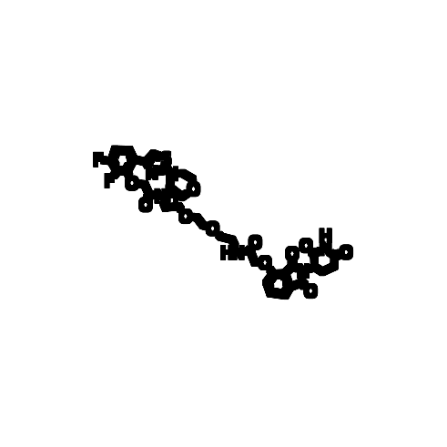 O=C(COc1cccc2c1C(=O)N(C1CCC(=O)NC1=O)C2=O)NCCOCCOCCNC(=O)COc1c(-c2csc(N3CCOCC3)n2)ccc(F)c1F